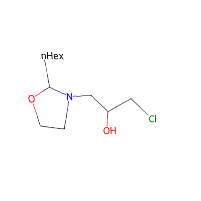 CCCCCCC1OCCN1CC(O)CCl